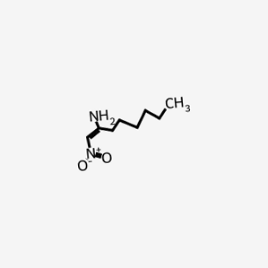 CCCCCC/C(N)=C\[N+](=O)[O-]